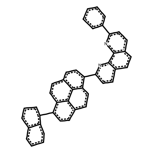 c1ccc(-c2ccc3ccc4ccc(-c5ccc6ccc7c(-c8cccc9ccccc89)ccc8ccc5c6c87)nc4c3n2)cc1